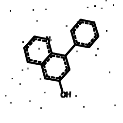 Oc1cc(-c2ccccc2)c2ncccc2c1